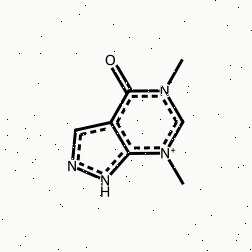 Cn1c[n+](C)c2[nH]ncc2c1=O